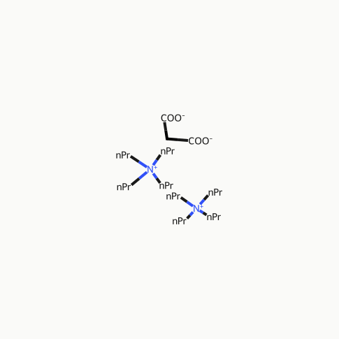 CCC[N+](CCC)(CCC)CCC.CCC[N+](CCC)(CCC)CCC.O=C([O-])CC(=O)[O-]